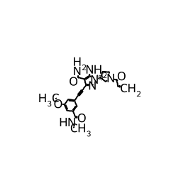 C=CC(=O)N1CC[C@H](n2nc(C#Cc3cc(OC)cc(C(=O)NC)c3)c(C(N)=O)c2N)C1